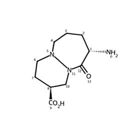 N[C@H]1CCCN2CC[C@H](C(=O)O)CN2C1=O